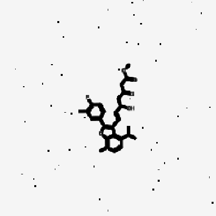 COC(=O)CC(=O)CC(O)C=Cc1c(-c2ccc(F)c(C)c2)oc2c(C)ccc(C(C)C)c12